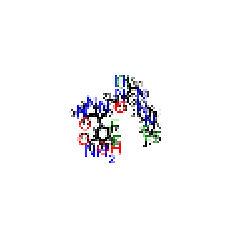 Cn1cnc2c(c(-c3cc(C(N)=O)c(O)c(F)c3F)cn2CC(=O)Nc2cc(N3CC4CC3CN4CC(F)(F)F)ncc2Cl)c1=O